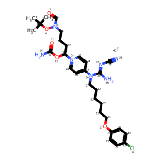 CC(C)(C)ON(C=O)CCCC(OC(N)=O)[n+]1ccc(N(CCCCCCOc2ccc(Cl)cc2)C(N)=NC#N)cc1.[I-]